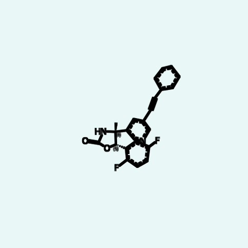 C[C@]1(c2cncc(C#Cc3ccccc3)c2)NC(=O)O[C@H]1c1cc(F)ccc1F